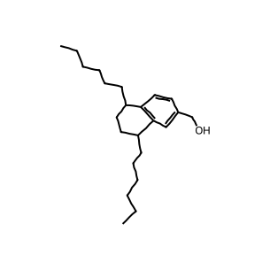 CCCCCCC1CCC(CCCCCC)c2cc(CO)ccc21